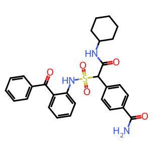 NC(=O)c1ccc(C(C(=O)NC2CCCCC2)S(=O)(=O)Nc2ccccc2C(=O)c2ccccc2)cc1